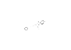 COc1ccc(S(=O)(=O)NC(C#N)CCCCCOc2ccccc2)cc1